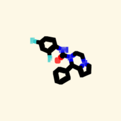 O=C(Nc1ccc(F)cc1F)N1CCn2cccc2C1c1ccccc1